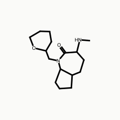 CNC1CCC2CCCC2N(CC2CCCCO2)C1=O